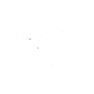 CC(C)(C)OC(=O)N1C2CC1CN(c1nc3c(C(=O)N4CCOCC4)ccc(-c4nccs4)c3o1)C2